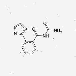 NC(=O)NC(=O)c1ccccc1-c1nccs1